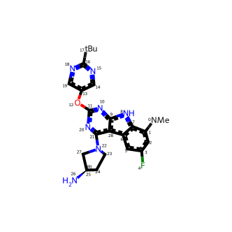 CNc1cc(F)cc2c1[nH]c1nc(Oc3cnc(C(C)(C)C)nc3)nc(N3CC[C@@H](N)C3)c12